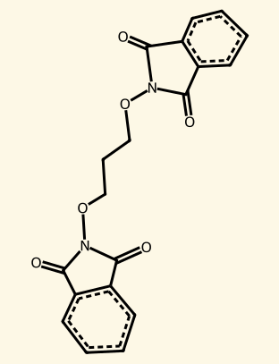 O=C1c2ccccc2C(=O)N1OCCCON1C(=O)c2ccccc2C1=O